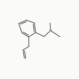 [CH]=CCc1ccccc1CN(C)C